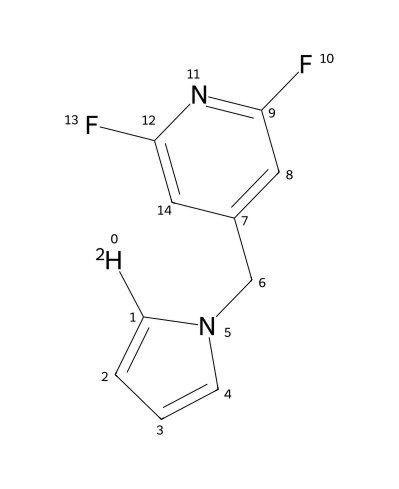 [2H]c1cccn1Cc1cc(F)nc(F)c1